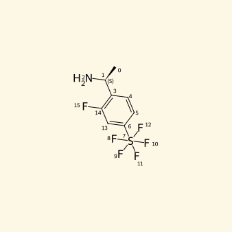 C[C@H](N)c1ccc(S(F)(F)(F)(F)F)cc1F